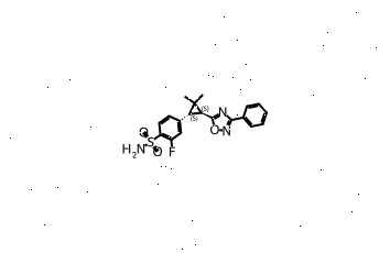 CC1(C)[C@@H](c2ccc(S(N)(=O)=O)c(F)c2)[C@@H]1c1nc(-c2ccccc2)no1